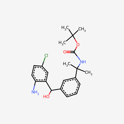 CC(C)(C)OC(=O)NC(C)(C)c1cccc(C(O)c2cc(Cl)ccc2N)c1